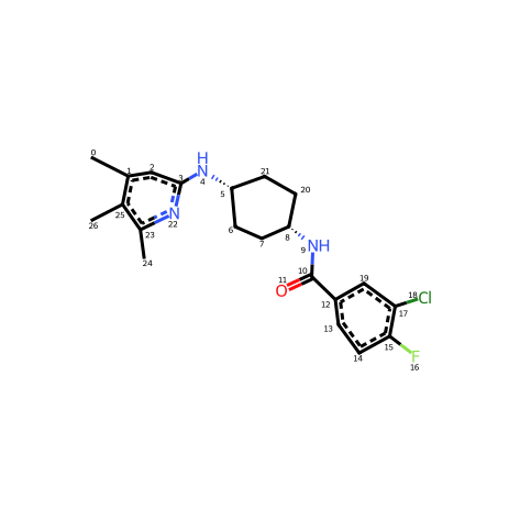 Cc1cc(N[C@H]2CC[C@@H](NC(=O)c3ccc(F)c(Cl)c3)CC2)nc(C)c1C